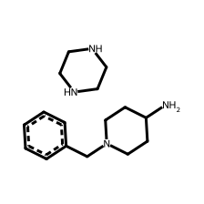 C1CNCCN1.NC1CCN(Cc2ccccc2)CC1